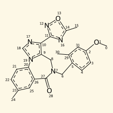 COc1ccc(CN2Cc3c(-c4noc(C)n4)ncn3-c3ccc(C)cc3C2=O)c(C)c1